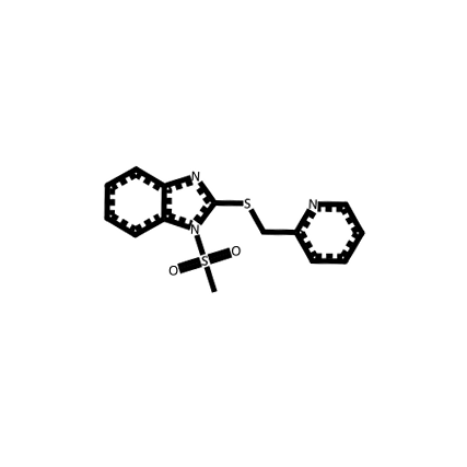 CS(=O)(=O)n1c(SCc2ccccn2)nc2ccccc21